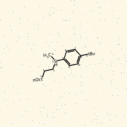 CCCCCCCCCC[SiH](C)c1ccc(C(C)(C)C)cc1